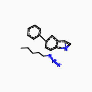 CCCCCN=[N+]=[N-].c1ccc(-c2ccc3c(c2)c2cn3-2)cc1